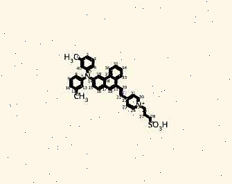 Cc1cccc(N(c2cccc(C)c2)c2ccc3cc(/C=C/c4cc[n+](CCCS(=O)(=O)O)cc4)c4ccccc4c3c2)c1